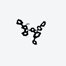 CC(C)(C)c1cc2c(cc1-c1ccccc1)c1ccccc1n2-c1ccc2c(c1)c1cc(-c3ccccc3)ccc1n2C1C=CC(c2ccccc2)=CC1